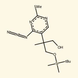 CSc1ncc(C(C)(CO)CO[Si](C)(C)C(C)(C)C)c(N=[N+]=[N-])n1